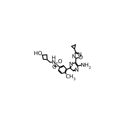 Cc1ccc(S(=O)(=O)NCC2CC(O)C2)cc1-c1cnc(N)c(-c2nc(C3CC3)no2)n1